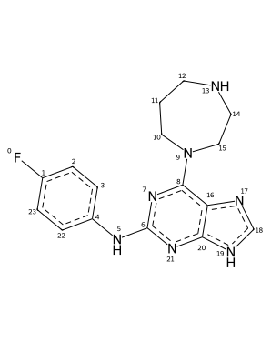 Fc1ccc(Nc2nc(N3CCCNCC3)c3nc[nH]c3n2)cc1